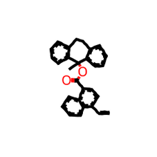 C=Cc1ccc(C(=O)OC2(C)c3ccccc3CCc3ccccc32)c2ccccc12